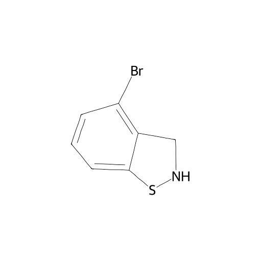 Brc1cccc2c1CNS2